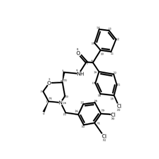 C[C@H]1CO[C@@H](CNC(=O)C(c2ccccc2)c2ccc(Cl)cc2)CN1Cc1ccc(Cl)c(Cl)c1